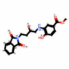 COC(=O)c1ccc(O)c(NCC(Br)CCN2C(=O)c3ccccc3C2=O)c1